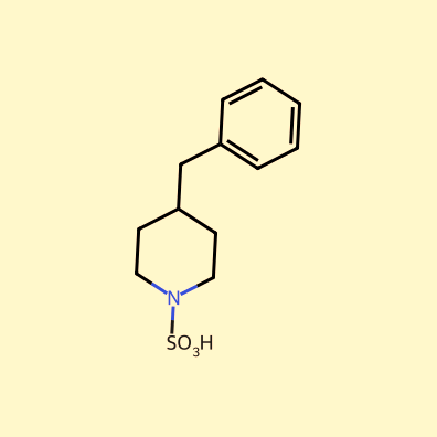 O=S(=O)(O)N1CCC(Cc2ccccc2)CC1